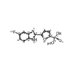 O=P(O)(O)c1ccc(-c2nc3cc(F)ccc3[nH]2)o1